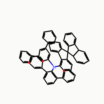 C1=CC2c3ccccc3C3(c4ccccc4-c4c(N(c5cc(-c6ccccc6)cc(-c6ccccc6)c5)c5c(-c6ccccc6)cccc5-c5ccccc5)cccc43)C2C=C1